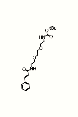 CC(C)(C)OC(=O)NCCOCCOCCNC(=O)/C=C/c1ccccc1